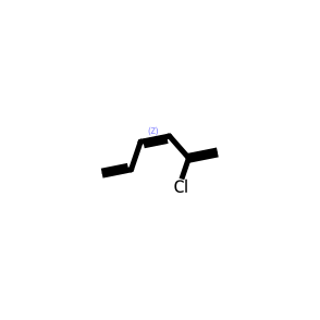 C=C/C=C\C(=C)Cl